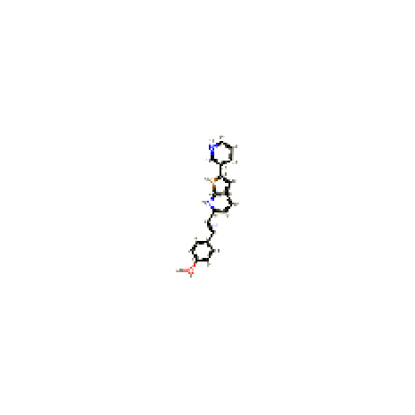 COc1ccc(/C=C/c2ccc3cc(-c4cccnc4)sc3n2)cc1